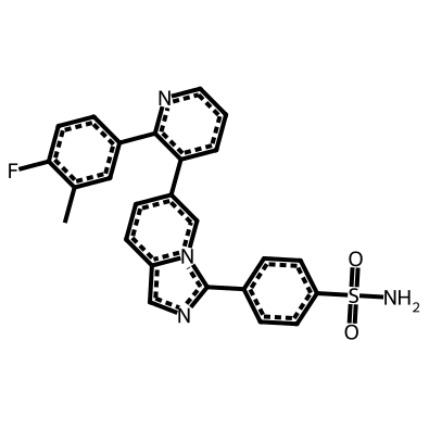 Cc1cc(-c2ncccc2-c2ccc3cnc(-c4ccc(S(N)(=O)=O)cc4)n3c2)ccc1F